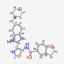 O=C(Nc1scnc1-c1nc2ccc(CN3CCOCC3)cc2[nH]1)c1ccc2c(c1)CCO2